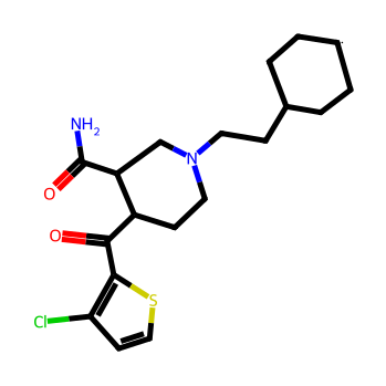 NC(=O)C1CN(CCC2CC[CH]CC2)CCC1C(=O)c1sccc1Cl